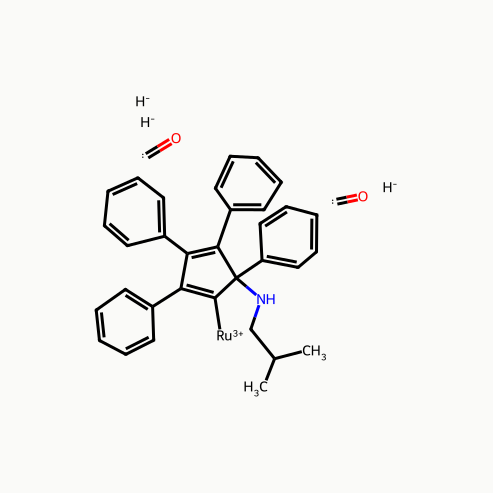 CC(C)CNC1(c2ccccc2)[C]([Ru+3])=C(c2ccccc2)C(c2ccccc2)=C1c1ccccc1.[C]=O.[C]=O.[H-].[H-].[H-]